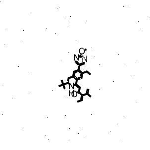 C=C(C)/C(=C/C)C(=O)/C=C1\NC(C(C)(C)C)Cc2cc(-c3cnc(OC)nc3)c(CC)cc21